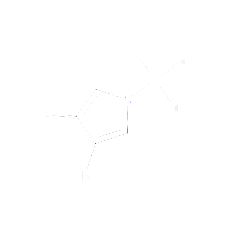 CC(C)[Si](C(C)C)(C(C)C)n1cc(Br)c(Br)c1